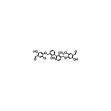 Cc1c(COc2cc(O)c(C=O)cc2Cl)cccc1-c1cccc(COc2cc(O)c(C=O)cc2Cl)c1C